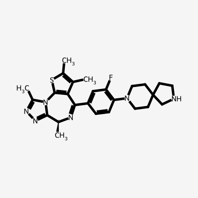 Cc1sc2c(c1C)C(c1ccc(N3CCC4(CCNC4)CC3)c(F)c1)=N[C@@H](C)c1nnc(C)n1-2